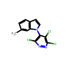 FC(F)(F)c1ccc2ccn(-c3c(Cl)nnc(Cl)c3Cl)c2c1